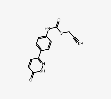 C#CCSC(=O)Nc1ccc(-c2ccc(=O)[nH]n2)cc1